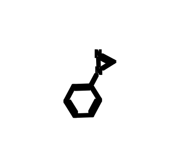 C1=NN1c1ccccc1